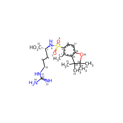 Cc1c(S(=O)(=O)N[C@H](CCCNC(=N)N)C(=O)O)ccc2c1C(C)(C)C(C)(C)O2